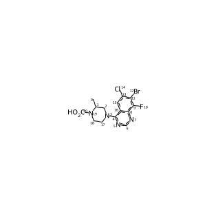 CC1CN(c2ncnc3c(F)c(Br)c(Cl)cc23)CCN1C(=O)O